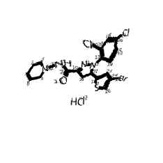 Cl.O=C(NN1CCCCC1)C1=NN(c2ccc(Cl)cc2Cl)C(c2cc(Br)cs2)C1